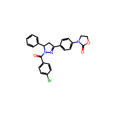 O=C1OCCN1c1ccc(C2=NN(C(=O)c3ccc(Br)cc3)C(c3ccccc3)C2)cc1